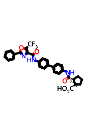 O=C(Nc1ccc(-c2ccc(NC(=O)[C@@H]3CCC[C@H]3C(=O)O)cc2)cc1)c1nc(-c2ccccc2)oc1C(F)(F)F